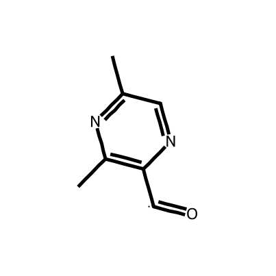 Cc1cnc([C]=O)c(C)n1